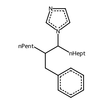 CCCCCCCC(C(CCCCC)Cc1ccccc1)n1ccnc1